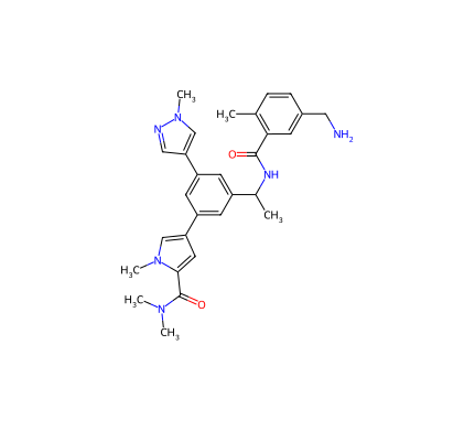 Cc1ccc(CN)cc1C(=O)NC(C)c1cc(-c2cnn(C)c2)cc(-c2cc(C(=O)N(C)C)n(C)c2)c1